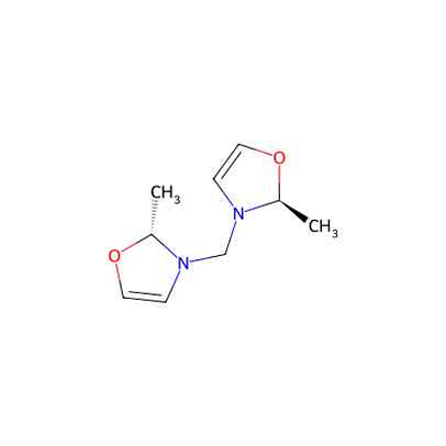 C[C@@H]1OC=CN1CN1C=CO[C@@H]1C